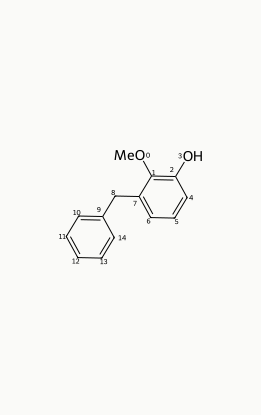 COc1c(O)cccc1Cc1ccccc1